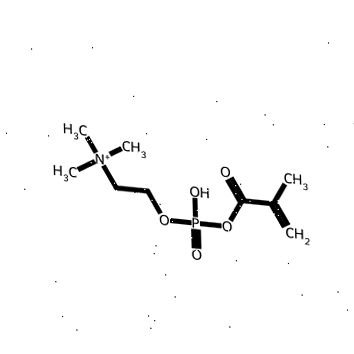 C=C(C)C(=O)OP(=O)(O)OCC[N+](C)(C)C